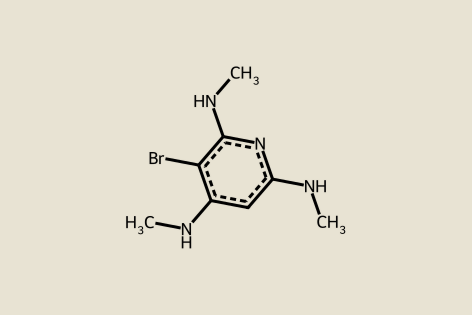 CNc1cc(NC)c(Br)c(NC)n1